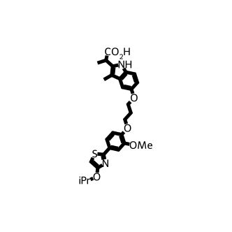 COc1cc(-c2nc(OC(C)C)cs2)ccc1OCCCOc1ccc2[nH]c(C(C)C(=O)O)c(C)c2c1